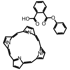 C1=Cc2cc3ccc(cc4nc(cc5ccc(cc1n2)[nH]5)C=C4)[nH]3.O=C(O)c1ccccc1C(=O)Oc1ccccc1